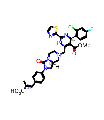 COC(=O)C1=C(CN2CCN3C(=O)N(c4ccc(/C=C(\C)C(=O)O)cc4)C[C@@H]3C2)NC(c2nccs2)=N[C@H]1c1ccc(F)cc1Cl